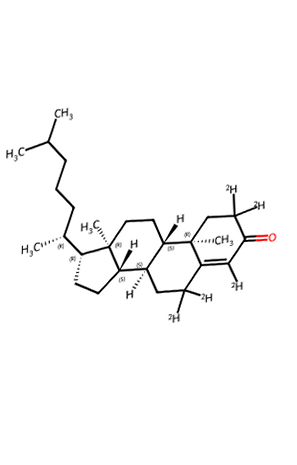 [2H]C1=C2C([2H])([2H])C[C@H]3[C@@H]4CC[C@H]([C@H](C)CCCC(C)C)[C@@]4(C)CC[C@@H]3[C@@]2(C)CC([2H])([2H])C1=O